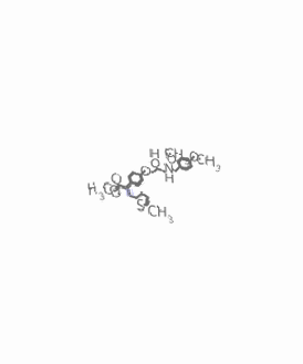 COC(=O)/C(=C/C1CC=C(C)S1)c1ccc(OCC(O)CNCc2ccc(OC)cc2OC)cc1